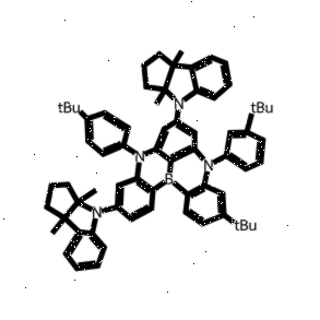 CC(C)(C)c1ccc(N2c3cc(N4c5ccccc5C5(C)CCCC45C)ccc3B3c4ccc(C(C)(C)C)cc4N(c4cccc(C(C)(C)C)c4)c4cc(N5c6ccccc6C6(C)CCCC56C)cc2c43)cc1